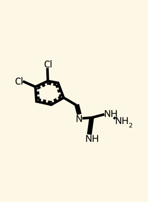 N=C(N=Cc1ccc(Cl)c(Cl)c1)NN